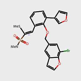 CNS(=O)(=O)/C(=C/c1cccc(-c2ccoc2)c1OCc1cc(Br)c2occc2c1)SC